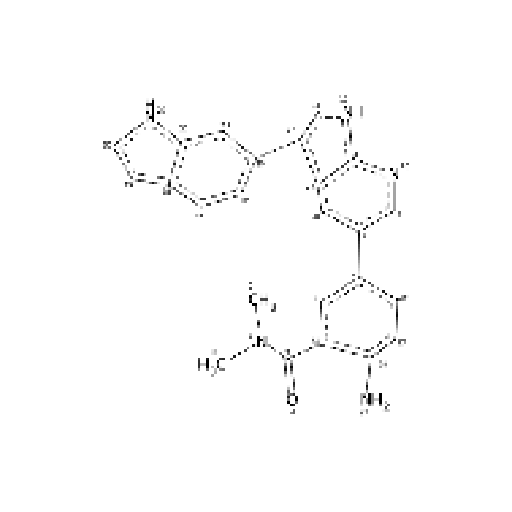 CN(C)C(=O)c1cc(-c2cnc3[nH]cc(-c4ccc5cc[nH]c5c4)c3c2)ccc1N